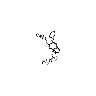 COCc1cc2c(ccn2CC(N)=O)cc1N1CCCC1